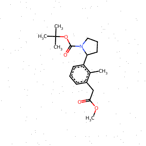 COC(=O)Cc1cccc(C2CCCN2C(=O)OC(C)(C)C)c1C